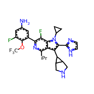 CC(C)c1nc(-c2cc(N)cc(F)c2OC(F)(F)F)c(F)c2c1c(C1C3CNCC31)c(-c1ncc[nH]1)n2C1CC1